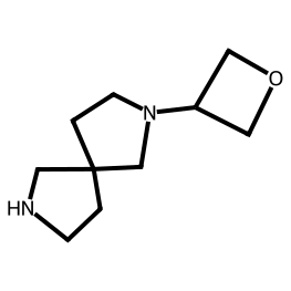 C1CC2(CCN(C3COC3)C2)CN1